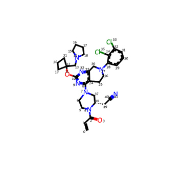 C=CC(=O)N1CCN(c2nc(OC3(CN4CCCC4)CCC3)nc3c2CCN(c2cccc(Cl)c2Cl)C3)C[C@@H]1CC#N